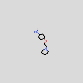 IN[C@H]1CC[C@H](OCCN2CCCCC2)CC1